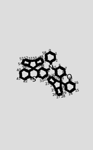 c1ccc(N(c2ccc3c(c2)C2(c4ccccc4O3)c3ccccc3-c3ccccc32)c2ccc3c(c2)C2(c4ccccc4S3)c3ccccc3-c3ccccc32)cc1